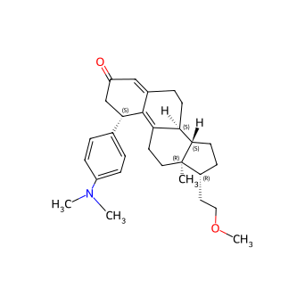 COCC[C@H]1CC[C@H]2[C@@H]3CCC4=CC(=O)C[C@@H](c5ccc(N(C)C)cc5)C4=C3CC[C@]12C